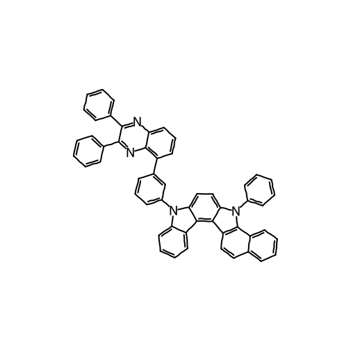 c1ccc(-c2nc3cccc(-c4cccc(-n5c6ccccc6c6c7c8ccc9ccccc9c8n(-c8ccccc8)c7ccc65)c4)c3nc2-c2ccccc2)cc1